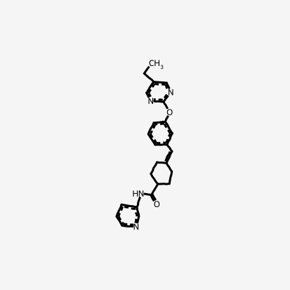 CCc1cnc(Oc2cccc(C=C3CCC(C(=O)Nc4cccnc4)CC3)c2)nc1